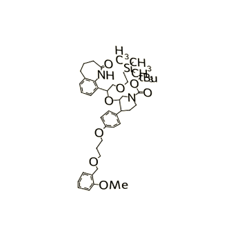 COc1ccccc1COCCCOc1ccc(C2CCN(C(=O)OC(C)(C)C)CC2OC(COCC[Si](C)(C)C)c2cccc3c2NC(=O)CCC3)cc1